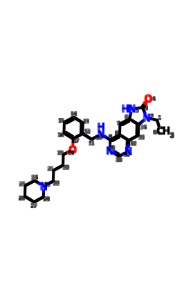 CCn1c(=O)[nH]c2cc3c(NCc4ccccc4OCCCCN4CCCCC4)ncnc3cc21